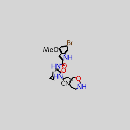 COc1cc(Br)cc2[nH]c(C(=O)N[C@@H](CC3CC3)C(=O)N[C@H](C#N)C[C@@H]3CCCNCOC3)cc12